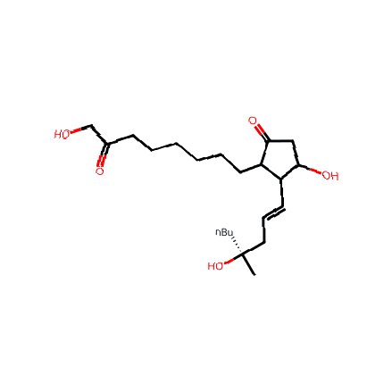 CCCC[C@](C)(O)CC=CC1C(O)CC(=O)C1CCCCCCC(=O)CO